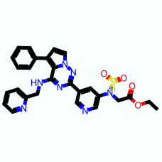 CCOC(=O)CN(c1cncc(-c2nc(NCc3ccccn3)c3c(-c4ccccc4)ccn3n2)c1)[SH](=O)=O